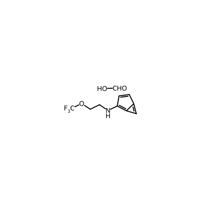 FC(F)(F)OCCNc1ccc2cc1-2.O=CO